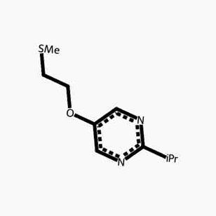 CSCCOc1cnc(C(C)C)nc1